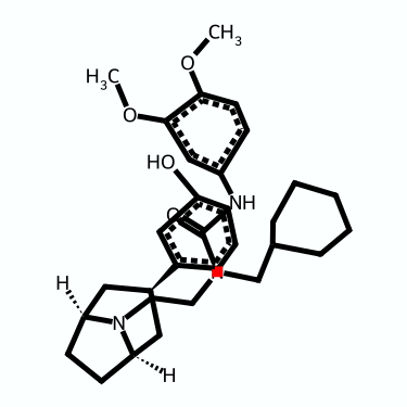 COc1ccc(NC(=O)N(CCN2[C@@H]3CC[C@H]2C[C@@H](c2cccc(O)c2)C3)CC2CCCCC2)cc1OC